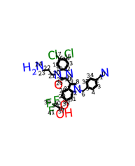 N#Cc1ccc(Cn2cc(-c3nc4cc(Cl)c(Cl)cc4n(CCCN)c3=O)c3ccccc32)cc1.O=C(O)C(F)(F)F